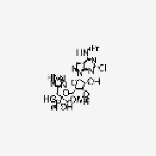 COC[C@@](Cc1nn[nH]n1)(OC[C@H]1O[C@@H](n2ncc3c(NC(C)C)nc(Cl)nc32)[C@H](O)[C@@H]1O)P(=O)(O)O